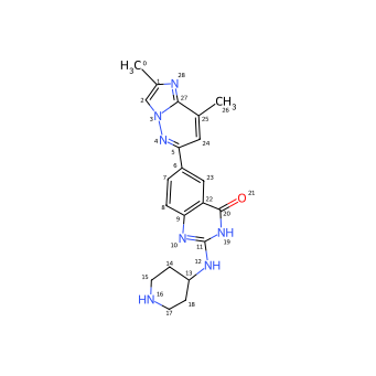 Cc1cn2nc(-c3ccc4nc(NC5CCNCC5)[nH]c(=O)c4c3)cc(C)c2n1